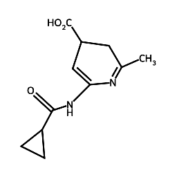 CC1=NC(NC(=O)C2CC2)=CC(C(=O)O)C1